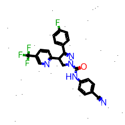 N#Cc1ccc(NC(=O)N2CC(c3ccc(C(F)(F)F)cn3)C(c3ccc(F)cc3)=N2)cc1